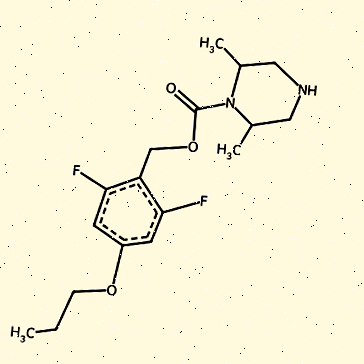 CCCOc1cc(F)c(COC(=O)N2C(C)CNCC2C)c(F)c1